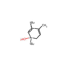 CC1=CCC(O)(C(C)(C)C)C=C1C(C)(C)C